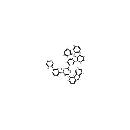 c1ccc(-c2cccc(C3N=C(c4cccc5oc6ccccc6c45)N=C(c4ccc([Si](c5ccccc5)(c5ccccc5)c5ccccc5)cc4)N3)c2)cc1